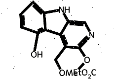 CCOC(=O)Oc1ncc2[nH]c3cccc(O)c3c2c1COC